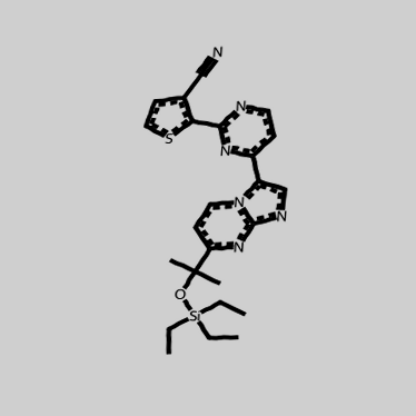 CC[Si](CC)(CC)OC(C)(C)c1ccn2c(-c3ccnc(-c4sccc4C#N)n3)cnc2n1